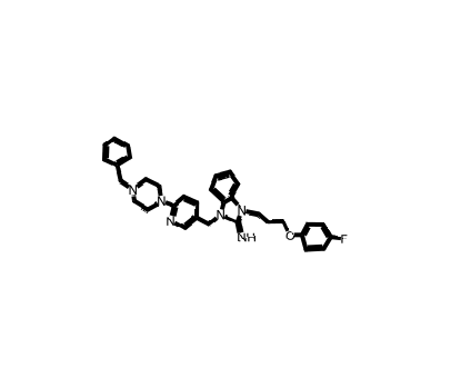 N=c1n(CCCOc2ccc(F)cc2)c2ccccc2n1Cc1ccc(N2CCN(Cc3ccccc3)CC2)nc1